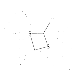 CC1SCS1